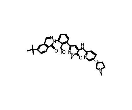 CN1CC[C@@H](c2ccc(Nc3cc(-c4cccc(-n5ncc6cc(C(C)(C)C)ccc6c5=O)c4CO)nn(C)c3=O)nc2)C1